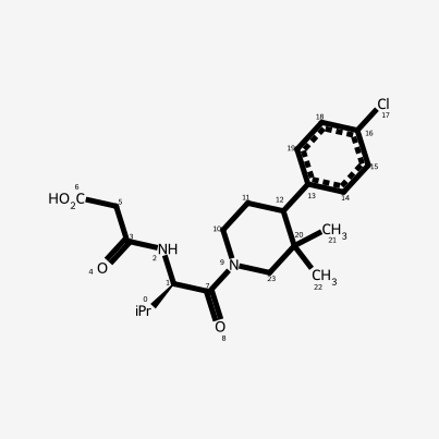 CC(C)[C@@H](NC(=O)CC(=O)O)C(=O)N1CCC(c2ccc(Cl)cc2)C(C)(C)C1